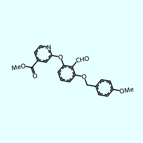 COC(=O)c1ccnc(Oc2cccc(OCc3ccc(OC)cc3)c2C=O)c1